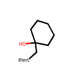 CCCC(C)CC1(O)CCCCC1